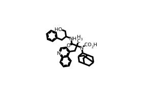 CC(Cc1ccnc2ccccc12)(C(=O)NC(CO)Cc1ccccc1)N(C(=O)O)C1C2CC3CC(C2)CC1C3